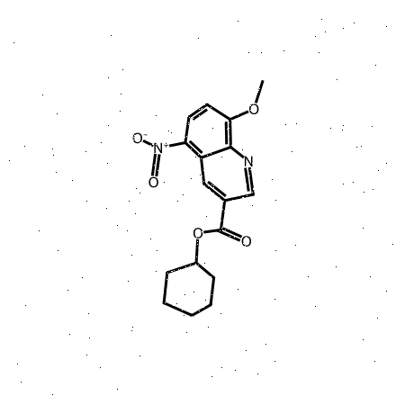 COc1ccc([N+](=O)[O-])c2cc(C(=O)OC3CCCCC3)cnc12